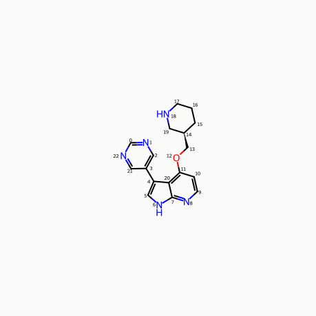 c1ncc(-c2c[nH]c3nccc(OC[C@@H]4CCCNC4)c23)cn1